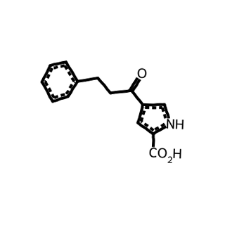 O=C(CCc1ccccc1)c1c[nH]c(C(=O)O)c1